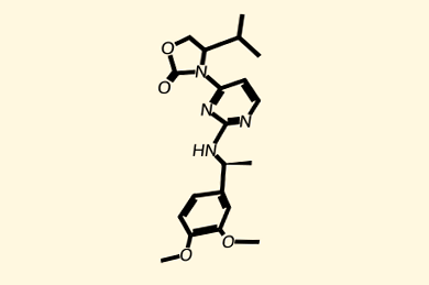 COc1ccc([C@H](C)Nc2nccc(N3C(=O)OCC3C(C)C)n2)cc1OC